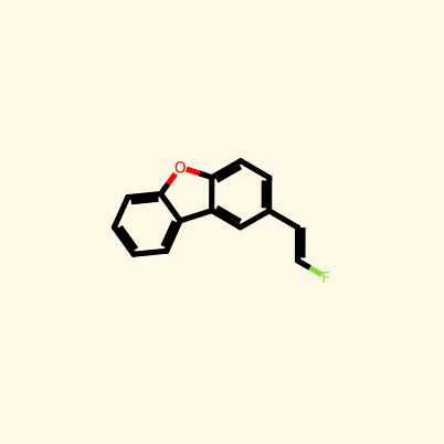 FC=Cc1ccc2oc3ccccc3c2c1